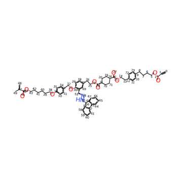 C#CC(=O)OCCCCc1ccc(CCOC(=O)C2CCC(C(=O)OCCc3ccc(OCc4ccc(OCCCCCCOC(=O)C(=C)C)cc4)c(/C=N/NC4c5ccccc5-c5ccccc54)c3)CC2)cc1